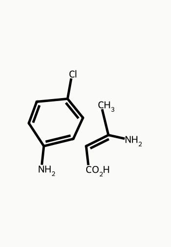 CC(N)=CC(=O)O.Nc1ccc(Cl)cc1